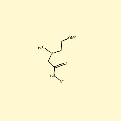 CCNC(=O)CN(C)CCOC